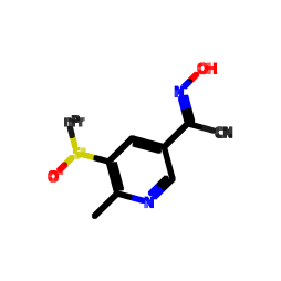 CCC[S+]([O-])c1cc(/C(C#N)=N/O)cnc1C